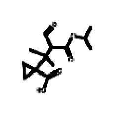 CC(C)OC(=O)C(C=O)C(C)(C)C1(C(=O)O)CC1